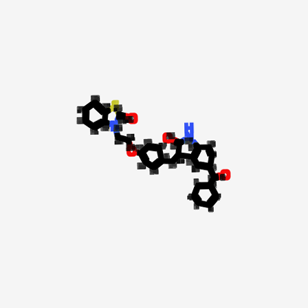 O=C(c1ccccc1)c1ccc2c(c1)C(Cc1ccc(OCCn3c(=O)sc4ccccc43)cc1)C(=O)N2